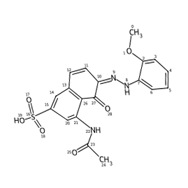 COc1ccccc1N/N=C1/C=Cc2cc(S(=O)(=O)O)cc(NC(C)=O)c2C1=O